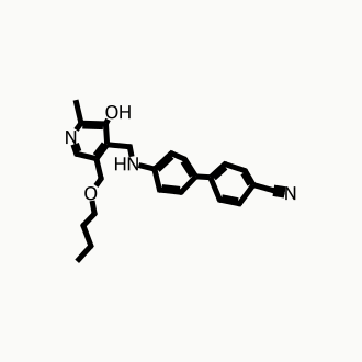 CCCCOCc1cnc(C)c(O)c1CNc1ccc(-c2ccc(C#N)cc2)cc1